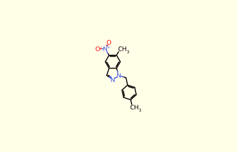 Cc1ccc(Cn2ncc3cc([N+](=O)[O-])c(C)cc32)cc1